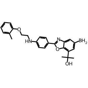 Bc1cc(C(C)(C)O)c2oc(-c3ccc(NCCOc4ccccc4C)cc3)nc2c1